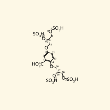 O=C(O)c1cc(OC[C@@H](COS(=O)(=O)O)OS(=O)(=O)O)ccc1OC[C@H](COS(=O)(=O)O)OS(=O)(=O)O